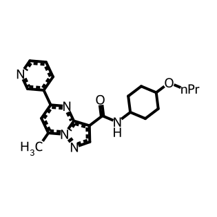 CCCOC1CCC(NC(=O)c2cnn3c(C)cc(-c4cccnc4)nc23)CC1